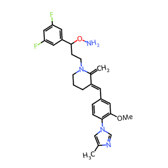 C=C1/C(=C/c2ccc(-n3cnc(C)c3)c(OC)c2)CCCN1CCC(ON)c1cc(F)cc(F)c1